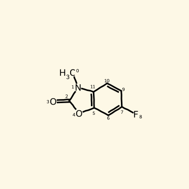 Cn1c(=O)oc2cc(F)ccc21